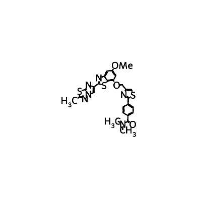 COc1cc(OCc2csc(-c3ccc(C(=O)N(C)C)cc3)n2)c2sc(-c3cn4nc(C)sc4n3)nc2c1